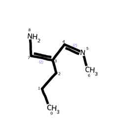 CCCC(/C=N\C)=C/N